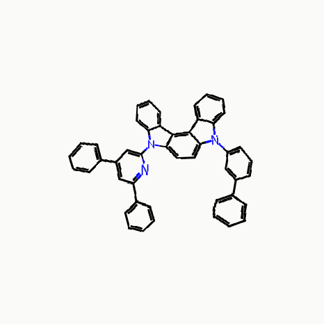 c1ccc(-c2cccc(-n3c4ccccc4c4c5c6ccccc6n(-c6cc(-c7ccccc7)cc(-c7ccccc7)n6)c5ccc43)c2)cc1